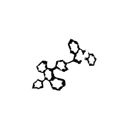 c1ccc(-c2c3ccccc3c(-c3ccc(-c4cn5c6ccccc6nc5c5ccccc45)cc3)c3ccccc23)cc1